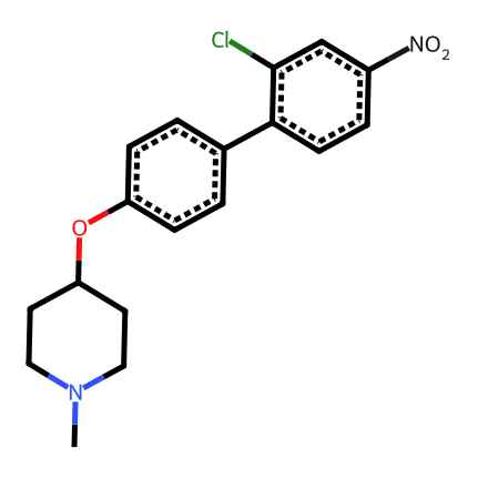 CN1CCC(Oc2ccc(-c3ccc([N+](=O)[O-])cc3Cl)cc2)CC1